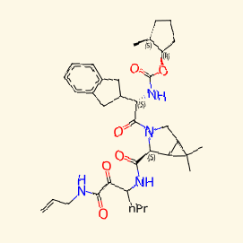 C=CCNC(=O)C(=O)C(CCC)NC(=O)[C@@H]1C2C(CN1C(=O)[C@@H](NC(=O)O[C@@H]1CCC[C@@H]1C)C1Cc3ccccc3C1)C2(C)C